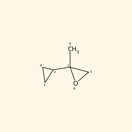 CC1(C2CC2)CO1